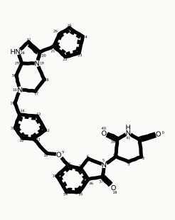 O=C1CCC(N2Cc3c(OCc4ccc(CN5CCN6C(c7ccccc7)=CNC6C5)cc4)cccc3C2=O)C(=O)N1